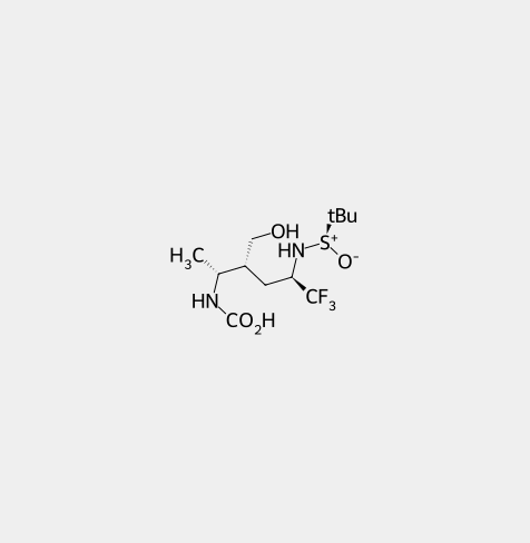 C[C@@H](NC(=O)O)[C@H](CO)C[C@@H](N[S@+]([O-])C(C)(C)C)C(F)(F)F